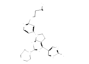 NC(=O)CCSc1cc(N2CCc3c(-c4cnc(N)nc4)nc(N4CCOCC4)nc32)ccn1